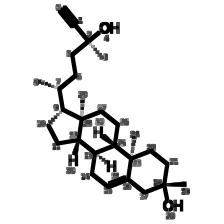 C#C[C@@](C)(O)CC[C@@H](C)[C@H]1CC[C@H]2[C@@H]3CC=C4C[C@@](C)(O)CC[C@]4(C)[C@H]3CC[C@]12C